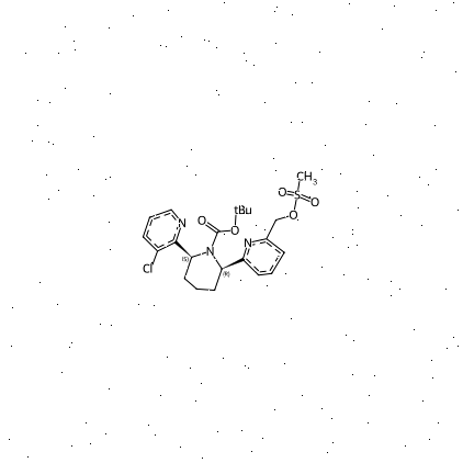 CC(C)(C)OC(=O)N1[C@@H](c2cccc(COS(C)(=O)=O)n2)CCC[C@H]1c1ncccc1Cl